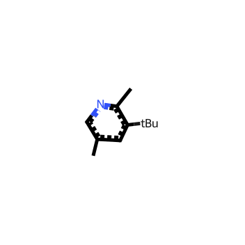 Cc1cnc(C)c(C(C)(C)C)c1